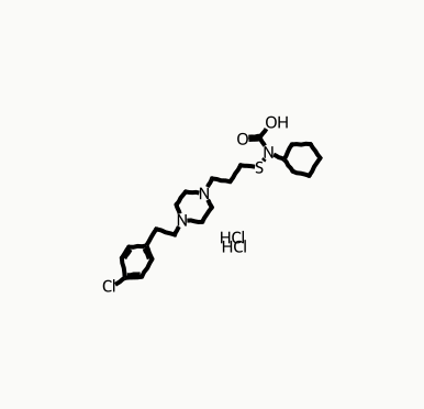 Cl.Cl.O=C(O)N(SCCCN1CCN(CCc2ccc(Cl)cc2)CC1)C1CCCCC1